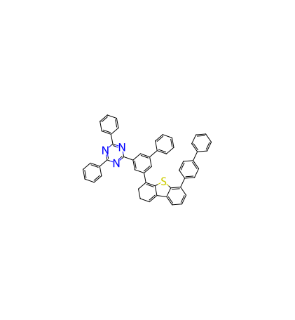 C1=c2c(sc3c(-c4ccc(-c5ccccc5)cc4)cccc23)=C(c2cc(-c3ccccc3)cc(-c3nc(-c4ccccc4)nc(-c4ccccc4)n3)c2)CC1